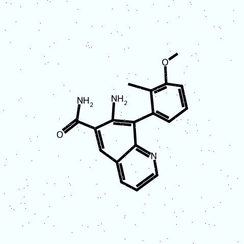 COc1cccc(-c2c(N)c(C(N)=O)cc3cccnc23)c1C